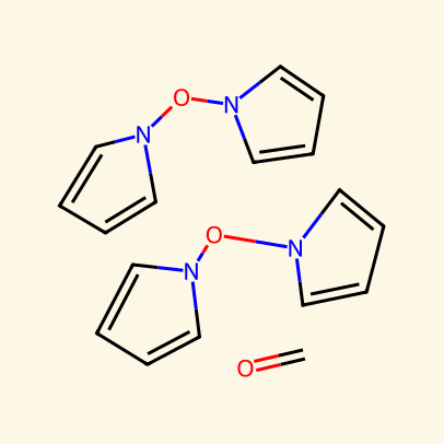 C=O.c1ccn(On2cccc2)c1.c1ccn(On2cccc2)c1